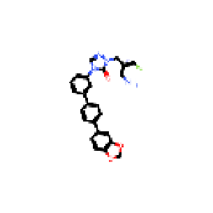 NC/C(=C\F)Cn1ncn(-c2cccc(-c3ccc(-c4ccc5c(c4)OCO5)cc3)c2)c1=O